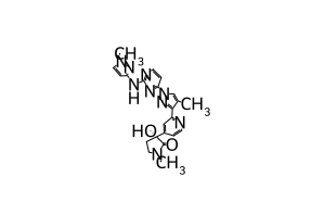 Cc1cn(-c2ccnc(Nc3ccn(C)n3)n2)nc1-c1cc([C@]2(O)CCN(C)C2=O)ccn1